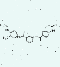 C=CNc1ccc(NC(=C)c2cccc(CNc3ccc4c(c3)CCC(=C)N4)c2)cc1C